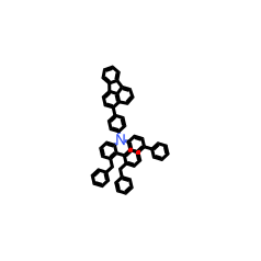 c1ccc(Cc2ccccc2-c2c(Cc3ccccc3)cccc2N(c2ccc(-c3ccccc3)cc2)c2ccc(-c3ccc4c5c(cccc35)-c3ccccc3-4)cc2)cc1